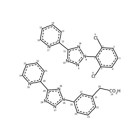 Clc1cccc(Cl)c1-n1nnc(-c2ccccn2)n1.O=C(O)Cc1cccc(-n2nnc(-c3ccccn3)n2)c1